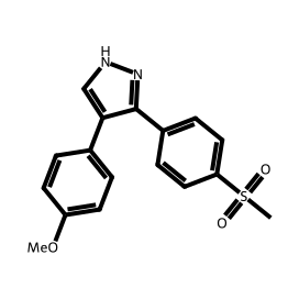 COc1ccc(-c2c[nH]nc2-c2ccc(S(C)(=O)=O)cc2)cc1